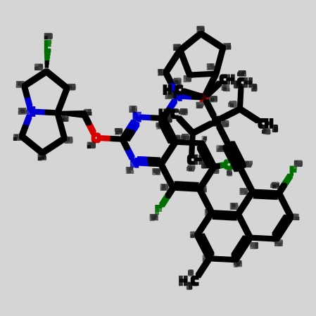 Cc1cc(-c2c(Cl)cc3c(N4CC5CCC(C5)C4)nc(OC[C@@]45CCCN4C[C@H](F)C5)nc3c2F)c2c(C#C[Si](C(C)C)(C(C)C)C(C)C)c(F)ccc2c1